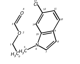 CCOC=O.Cn1ccc2ccc(Cl)cc21